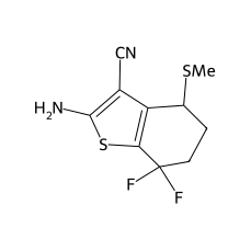 CSC1CCC(F)(F)c2sc(N)c(C#N)c21